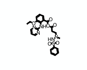 CCOc1cccc(C(=O)OC(=O)CCN(C)NS(=O)(=O)c2ccccc2)c1Nc1ncccn1